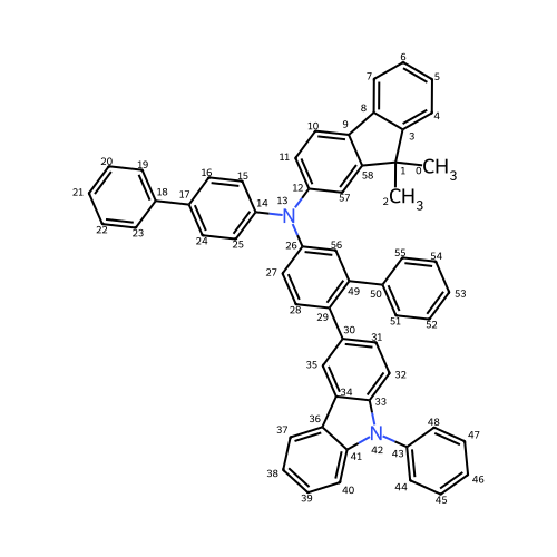 CC1(C)c2ccccc2-c2ccc(N(c3ccc(-c4ccccc4)cc3)c3ccc(-c4ccc5c(c4)c4ccccc4n5-c4ccccc4)c(-c4ccccc4)c3)cc21